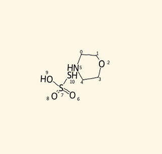 C1COCCN1.O=S(=O)(O)S